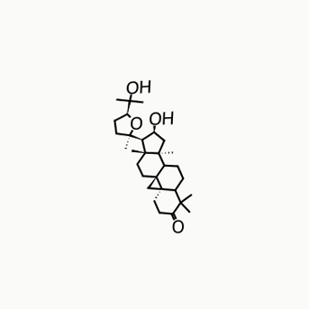 CC1(C)C(=O)CC[C@]23C[C@]24CC[C@]2(C)[C@@H]([C@@]5(C)CC[C@@H](C(C)(C)O)O5)[C@@H](O)C[C@@]2(C)C4CCC13